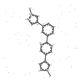 Cn1cc(-c2cnc(-c3cccc(-c4cnn(C)c4)c3)nc2)cn1